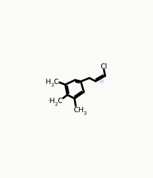 [CH2]c1c(C)cc(C/C=C\Cl)cc1C